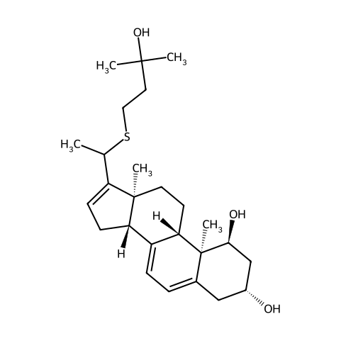 CC(SCCC(C)(C)O)C1=CC[C@H]2C3=CC=C4C[C@@H](O)C[C@H](O)[C@]4(C)[C@H]3CC[C@]12C